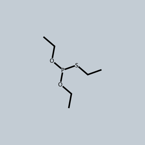 CCOP(OCC)SCC